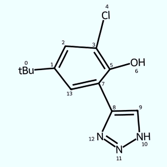 CC(C)(C)c1cc(Cl)c(O)c(-c2c[nH]nn2)c1